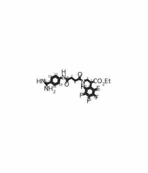 CCOC(=O)C(CNC(=O)CCC(=O)Nc1ccc(C(=N)N)cc1)c1c(F)c(F)c(F)c(F)c1F